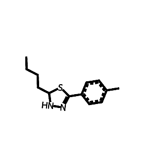 CCCCC1NN=C(c2ccc(C)cc2)S1